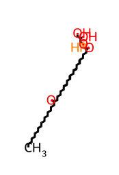 CCCCCCCCCCCCCCCCCC(=O)CCCCCC=CCC=CCC=CCC=CCCCC(=O)POCC(O)CO